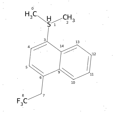 C[SH](C)c1ccc(CC(F)(F)F)c2ccccc12